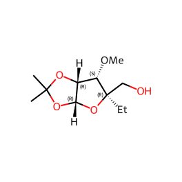 CC[C@]1(CO)O[C@@H]2OC(C)(C)O[C@@H]2[C@@H]1OC